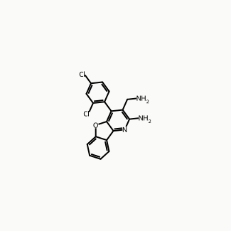 NCc1c(N)nc2c(oc3ccccc32)c1-c1ccc(Cl)cc1Cl